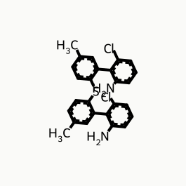 Cc1ccc(Sc2ccc(C)cc2-c2c(N)cccc2Cl)c(-c2c(N)cccc2Cl)c1